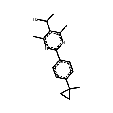 Cc1nc(-c2ccc(C3(C)CC3)cc2)nc(C)c1C(C)S